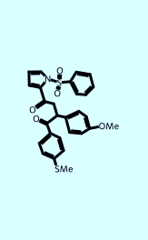 COc1ccc(C(CC(=O)c2cccn2S(=O)(=O)c2ccccc2)C(=O)c2ccc(SC)cc2)cc1